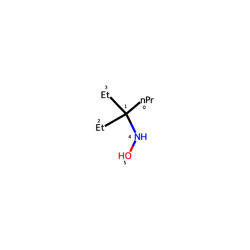 CCCC(CC)(CC)NO